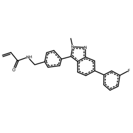 C=CC(=O)NCc1ccc(-c2c3ccc(-c4cccc(F)c4)cc3nn2C)cc1